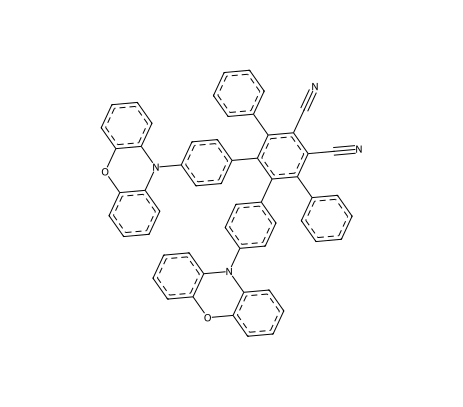 N#Cc1c(C#N)c(-c2ccccc2)c(-c2ccc(N3c4ccccc4Oc4ccccc43)cc2)c(-c2ccc(N3c4ccccc4Oc4ccccc43)cc2)c1-c1ccccc1